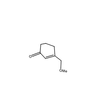 COCC1=CC(=O)CCC1